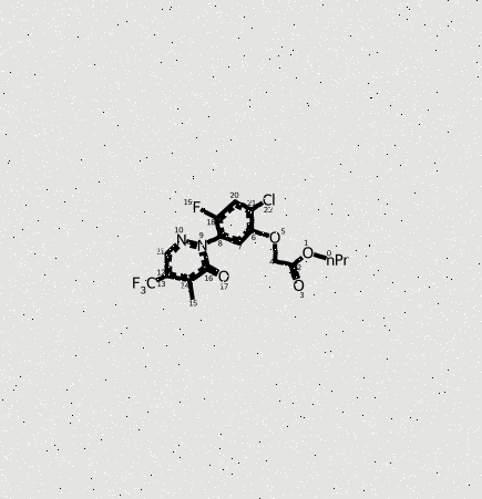 CCCOC(=O)COc1cc(-n2ncc(C(F)(F)F)c(C)c2=O)c(F)cc1Cl